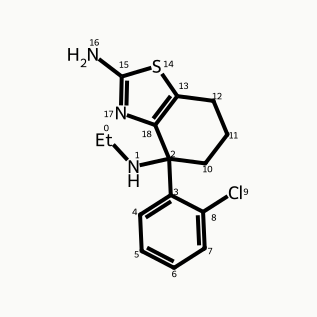 CCNC1(c2ccccc2Cl)CCCc2sc(N)nc21